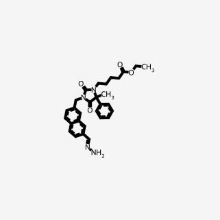 CCOC(=O)CCCCN1C(=O)N(Cc2ccc3ccc(C=NN)cc3c2)C(=O)C1(C)c1ccccc1